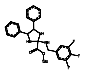 CC(C)(C)OC(=O)C1(NCc2cc(F)c(F)c(F)c2)NC(c2ccccc2)C(c2ccccc2)N1